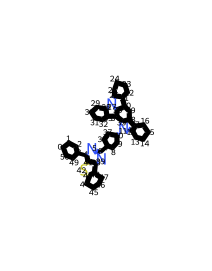 c1ccc(-c2nc(-c3ccc(-n4c5ccccc5c5cc6c7ccccc7n7c8ccccc8c(c54)c67)cc3)nc3c2sc2ccccc23)cc1